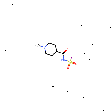 CN1CCC(C(=O)NS(=O)(=O)I)CC1